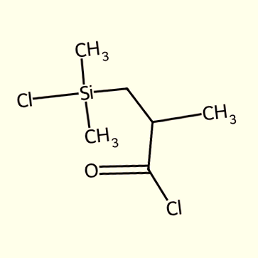 CC(C[Si](C)(C)Cl)C(=O)Cl